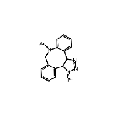 CC(=O)N1Cc2ccccc2C2C(N=NN2C(C)C)c2ccccc21